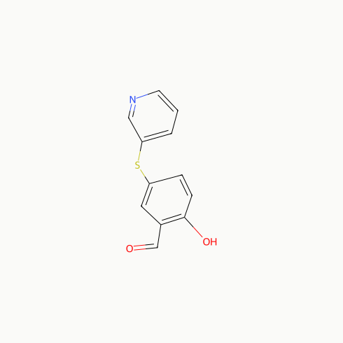 O=Cc1cc(Sc2cccnc2)ccc1O